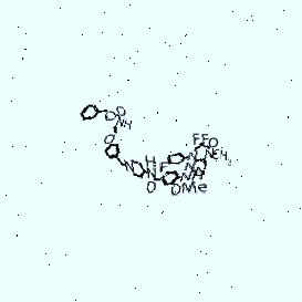 COc1cc(C(=O)NC2CCN(Cc3ccc(OCCNC(=O)OCc4ccccc4)cc3)CC2)c(F)cc1Nc1ncc2c(n1)N(C1CCCC1)CC(F)(F)C(=O)N2C